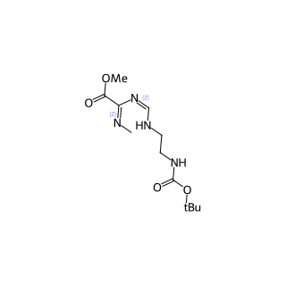 C/N=C(\N=C/NCCNC(=O)OC(C)(C)C)C(=O)OC